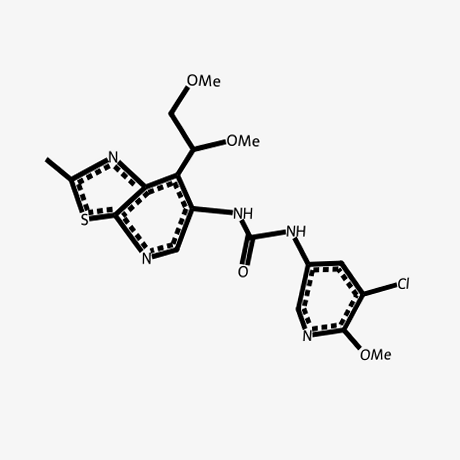 COCC(OC)c1c(NC(=O)Nc2cnc(OC)c(Cl)c2)cnc2sc(C)nc12